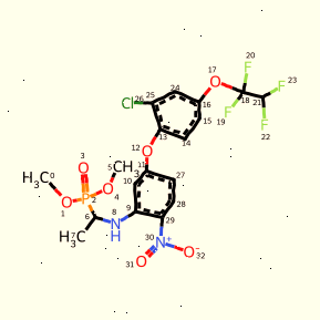 COP(=O)(OC)C(C)Nc1cc(Oc2ccc(OC(F)(F)C(F)F)cc2Cl)ccc1[N+](=O)[O-]